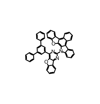 c1ccc(-c2cc(-c3ccccc3)cc(-c3nc(-n4c5ccccc5c5c6ccccc6c6c7ccccc7oc6c54)nc4c3oc3ccccc34)c2)cc1